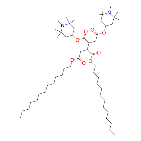 CCCCCCCCCCCCCOC(=O)CC(C(=O)OCCCCCCCCCCCCC)C(CC(=O)OC1CC(C)(C)N(C)C(C)(C)C1)C(=O)OC1CC(C)(C)N(C)C(C)(C)C1